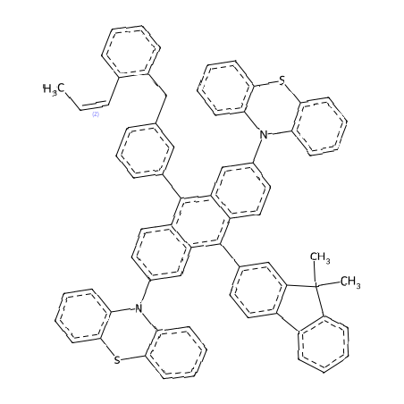 C/C=C\c1ccccc1Cc1cccc(-c2c3ccc(N4c5ccccc5Sc5ccccc54)cc3c(-c3ccc4c(c3)C(C)(C)c3ccccc3-4)c3ccc(N4c5ccccc5Sc5ccccc54)cc23)c1